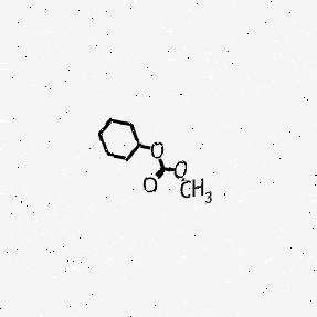 COC(=O)O[C]1CCCCC1